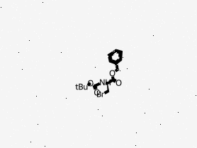 CC(C)(C)OC(=O)N[C@H](CBr)C(=O)OCc1ccccc1